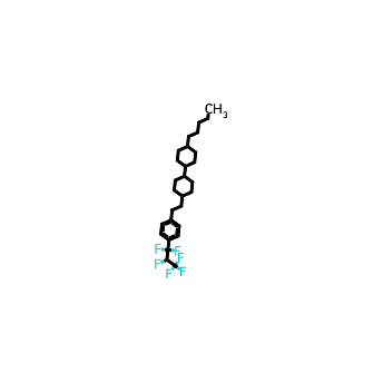 CCCCCC1CCC(C2CCC(CCc3ccc(C(F)(F)C(F)C(F)(F)F)cc3)CC2)CC1